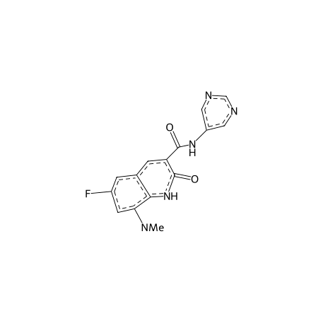 CNc1cc(F)cc2cc(C(=O)Nc3cncnc3)c(=O)[nH]c12